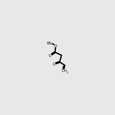 C=CC(=O)CC(=O)OC(C)(C)C